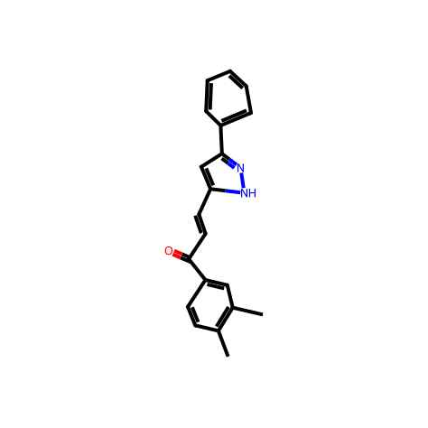 Cc1ccc(C(=O)C=Cc2cc(-c3ccccc3)n[nH]2)cc1C